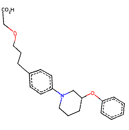 O=C(O)COCCCc1ccc(N2CCCC(Oc3ccccc3)C2)cc1